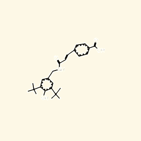 CC(C)(C)c1cc(CNC(=O)C=Cc2ccc(C(=O)O)cc2)cc(C(C)(C)C)c1O